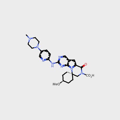 CO[C@H]1CC[C@@]2(CC1)CN(C(=O)O)C(=O)c1cc3cnc(Nc4ccc(N5CCN(C)CC5)cn4)nc3n12